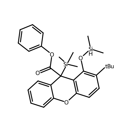 C[SiH](C)Oc1c(C(C)(C)C)ccc2c1C(C(=O)Oc1ccccc1)([Si](C)(C)C)c1ccccc1O2